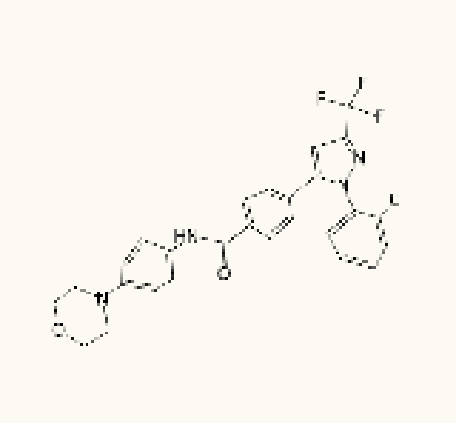 O=C(Nc1ccc(N2CCOCC2)cc1)c1ccc(-c2cc(C(F)(F)F)nn2-c2ccccc2Cl)cc1